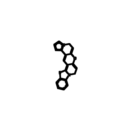 C1=C2OC3=CCN4C(=C3C=C2c2cccn2C1)Sc1ccccc14